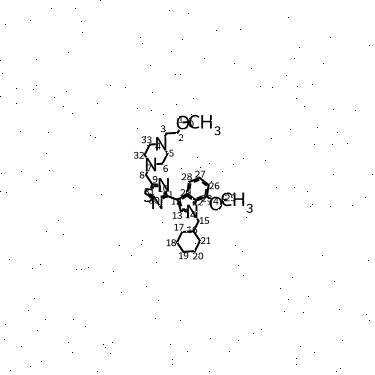 COCCN1CCN(Cc2nc(-c3cn(CC4CCCCC4)c4c(OC)cccc34)ns2)CC1